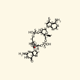 C#C[C@@]12COP(O)(=S)O[C@@H]3[C@H](F)[C@@H](COP(O)(=S)O[C@H]1C[C@H](n1cc(F)c4c(N)ncnc41)O2)O[C@H]3n1cnc2c(=O)[nH]c(N)nc21